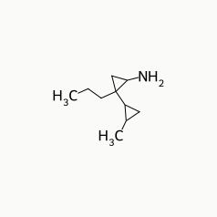 CCCC1(C2CC2C)CC1N